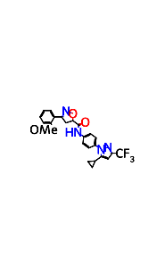 COc1ccccc1C1=NOC(C(=O)Nc2ccc(-n3nc(C(F)(F)F)cc3C3CC3)cc2)C1